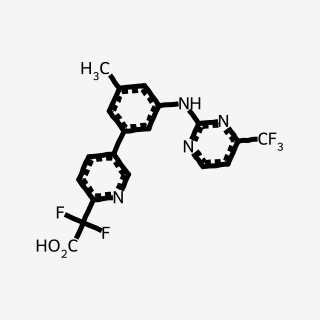 Cc1cc(Nc2nccc(C(F)(F)F)n2)cc(-c2ccc(C(F)(F)C(=O)O)nc2)c1